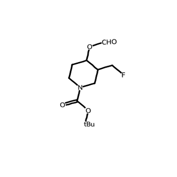 CC(C)(C)OC(=O)N1CCC(OC=O)C(CF)C1